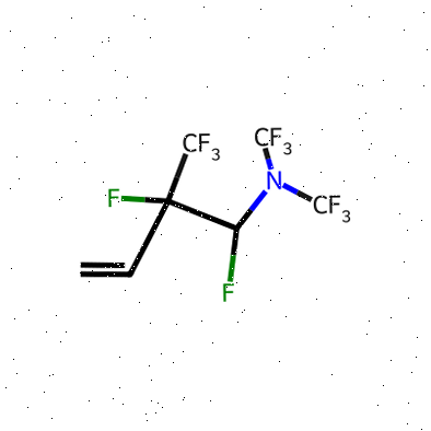 C=CC(F)(C(F)N(C(F)(F)F)C(F)(F)F)C(F)(F)F